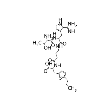 CCCc1ccc(CC(NC(=O)CCCNC(=O)C(CC2=CCNC2C(=N)N)NC(=O)C(N)C(C)O)C(=O)O)s1